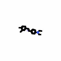 CCN(CC)c1ccc(/C=C/c2ccc(C)c(C)c2)cc1